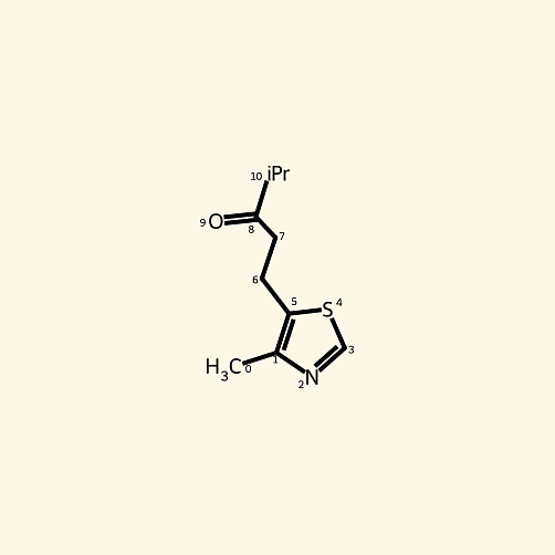 Cc1ncsc1CCC(=O)C(C)C